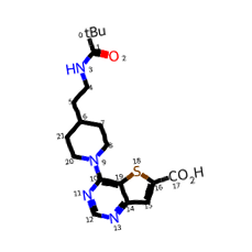 CC(C)(C)C(=O)NCCC1CCN(c2ncnc3cc(C(=O)O)sc23)CC1